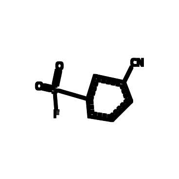 N#Cc1cccc(S(=O)(=O)F)c1